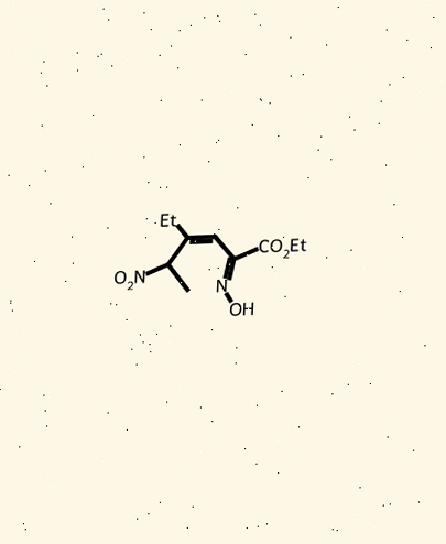 CCOC(=O)C(C=C(CC)C(C)[N+](=O)[O-])=NO